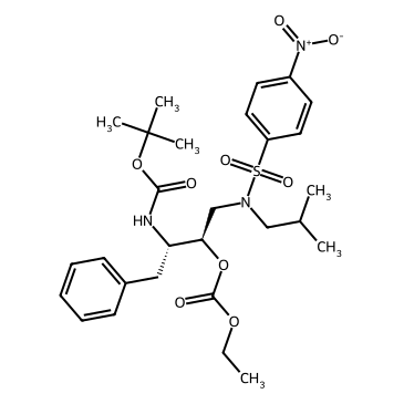 CCOC(=O)O[C@H](CN(CC(C)C)S(=O)(=O)c1ccc([N+](=O)[O-])cc1)[C@H](Cc1ccccc1)NC(=O)OC(C)(C)C